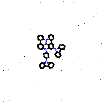 c1ccc2c(c1)-c1cccc3c1B1c4c(cc(-n5c6ccccc6c6ccccc65)cc4N3c3ccc(-n4c5ccccc5c5ccccc54)cc3)-c3ccccc3N12